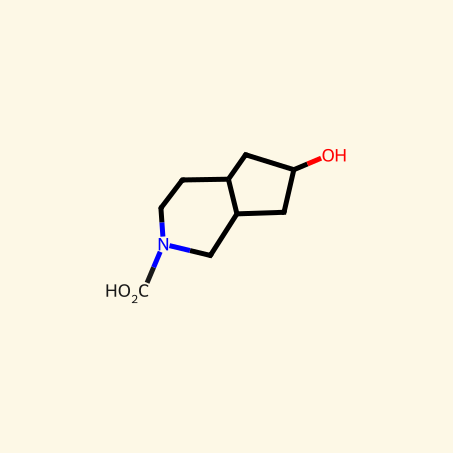 O=C(O)N1CCC2CC(O)CC2C1